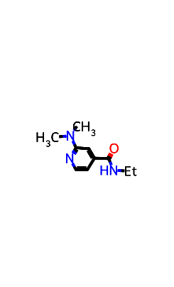 CCNC(=O)c1ccnc(N(C)C)c1